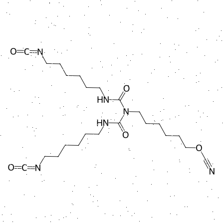 N#COCCCCCCN(C(=O)NCCCCCCN=C=O)C(=O)NCCCCCCN=C=O